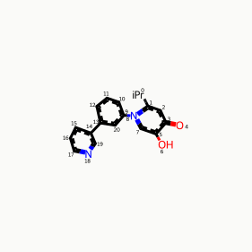 CC(C)c1cc(=O)c(O)cn1-c1cccc(-c2cccnc2)c1